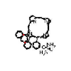 C1=Cc2cc3c(-c4ccccc4)c(-c4ccccc4)c(c(-c4ccccc4)c4nc(cc5ccc(cc1n2)[nH]5)C=C4)n3-c1ccccc1.NS(N)(=O)=O